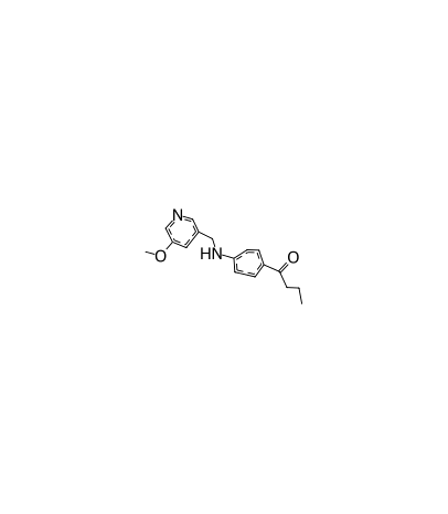 CCCC(=O)c1ccc(NCc2cncc(OC)c2)cc1